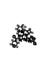 CC1CCC(Cn2c(C(=O)C3CCOCC3)nc3nc(-c4noc(=O)[nH]4)nc(N[C@H](C)C4CCC4)c32)CC1